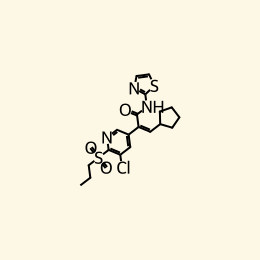 CCCS(=O)(=O)c1ncc(C(=CC2CCCC2)C(=O)Nc2nccs2)cc1Cl